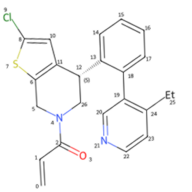 C=CC(=O)N1Cc2sc(Cl)cc2[C@H](c2ccccc2-c2cnccc2CC)C1